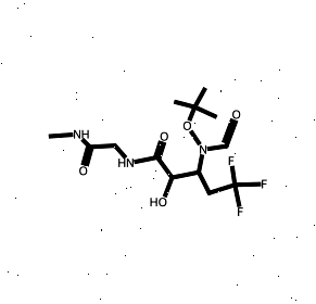 CNC(=O)CNC(=O)C(O)C(CC(F)(F)F)N(C=O)OC(C)(C)C